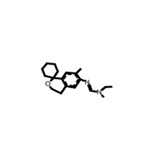 CCN(C)/C=N/c1cc2c(cc1C)C1(CCCCC1)OCC2